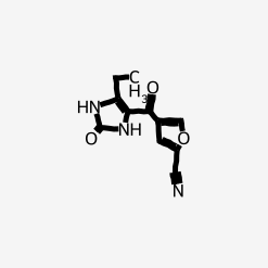 CCc1[nH]c(=O)[nH]c1C(=O)c1coc(C#N)c1